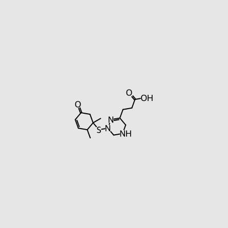 CC1C=CC(=O)CC1(C)SN1CNCC(CCC(=O)O)=N1